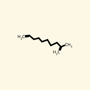 C=CCCCCCCC(=C)C